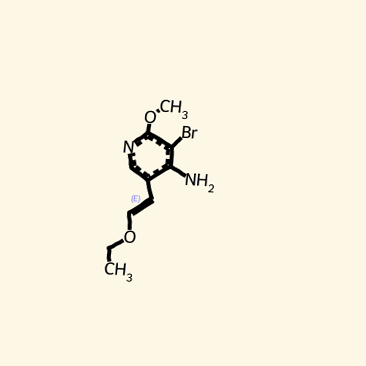 CCO/C=C/c1cnc(OC)c(Br)c1N